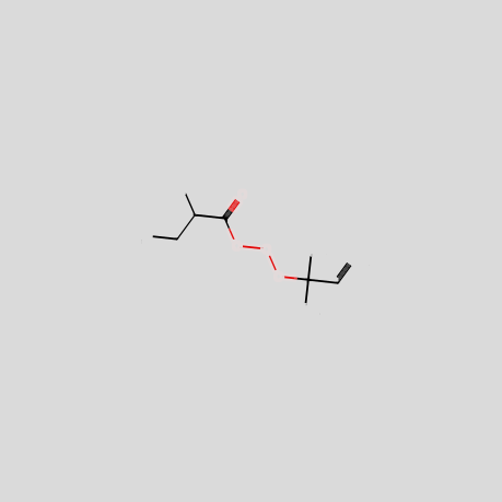 C=CC(C)(C)OOOC(=O)C(C)CC